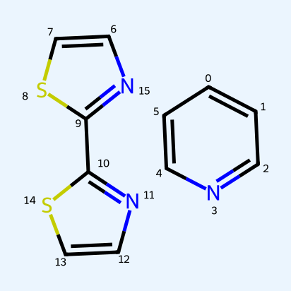 c1ccncc1.c1csc(-c2nccs2)n1